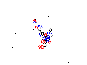 C=CCN1CC(=O)N2[C@@H](Cc3ccc(O)cc3)C(=O)N(Cc3cccc4c(-c5ccc(C(=O)NC6CCC(NC(=O)OC(C)(C)C)CC6)cc5)cn(C)c34)C[C@@H]2N1C(=O)NCc1ccccc1